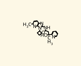 Cc1ccc2nc(NC(=O)C[C@](C)(O)c3ccccn3)n(C3CCC3)c2n1